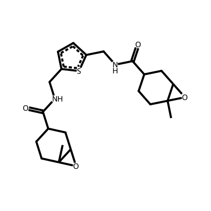 CC12CCC(C(=O)NCc3ccc(CNC(=O)C4CCC5(C)OC5C4)s3)CC1O2